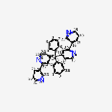 c1ccc([Si](c2ccccc2)(c2ccnc(-c3cccnc3)c2)c2ccnc(-c3cccnc3)c2)cc1